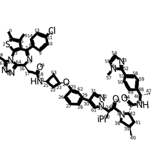 Cc1sc2c(c1C)C(c1ccc(Cl)cc1)=N[C@@H](CC(=O)N[C@H]1C[C@@H](Oc3cccc(-c4cnn([C@@H](C(=O)N5C[C@H](C)C[C@H]5C(=O)N[C@@H](C)c5ccc(-c6nccn6C)cc5)C(C)C)c4)c3)C1)c1nnc(C)n1-2